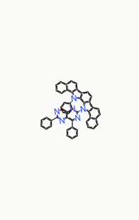 c1ccc(-c2ncc3nc(-n4c5c6ccccc6ccc5c5ccc6c7ccc8ccccc8c7n(-c7ccccc7)c6c54)nc(-c4ccccc4)c3n2)cc1